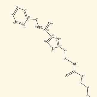 CCCCOC(=O)NCCc1nc(C(=O)NCc2cccnn2)cs1